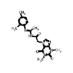 C/C(=N\c1ccc(C)cc1C)NC(=O)Cn1cnc2c1c(=O)n(C)c(=O)n2C